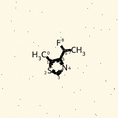 Cc1scnc1C(C)F